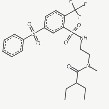 CCC(CC)C(=O)N(C)CCNS(=O)(=O)c1cc(S(=O)(=O)c2ccccc2)ccc1C(F)(F)F